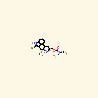 CN(C)C(=O)OC[C@@H]1CC2c3cccc4[nH]c(Br)c(c34)C[C@H]2N(C)C1